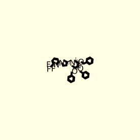 C[C@@H]1[C@@H](OCc2ccccc2)[C@H](OCc2ccccc2)[C@@H](OCc2ccccc2)CN1C[C@H]1CCN(c2cccc(C(F)(F)F)n2)C1